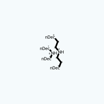 CCCCCCCCCCCCNCCCCCCCCCCCC.CCCCCCCCCCNCCCCCCCCCC